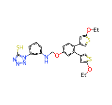 CCOc1cc(-c2ccc(OCNc3cccc(-n4nnnc4S)c3)cc2-c2csc(OCC)c2)cs1